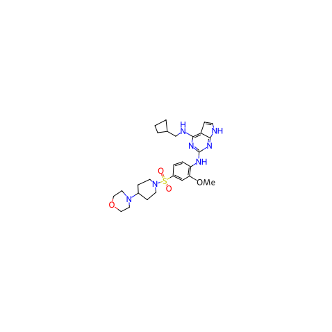 COc1cc(S(=O)(=O)N2CCC(N3CCOCC3)CC2)ccc1Nc1nc(NCC2CCC2)c2cc[nH]c2n1